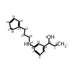 [CH2]CC(O)c1cccc(NCCCc2ccccc2)c1